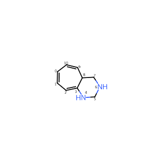 C1=CC=C2NCNCC2C=C1